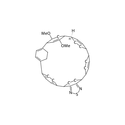 COC1=CC2C3=CC=C(CC3)C3=CC=C(CC3)C3CCC(c4nsnc43)C3C=CC(CC3)C3C=C[C@@H](CC3)C1CC2OC